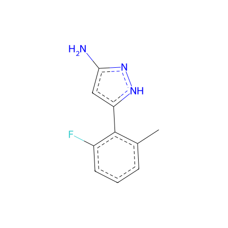 Cc1cccc(F)c1-c1cc(N)n[nH]1